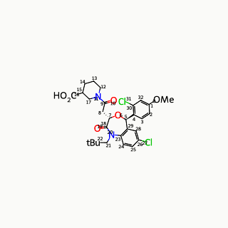 COc1ccc([C@@H]2O[C@@H](CC(=O)N3CCCC(C(=O)O)C3)C(=O)N(CC(C)(C)C)c3ccc(Cl)cc32)c(Cl)c1